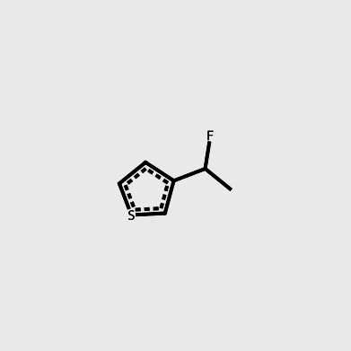 CC(F)c1ccsc1